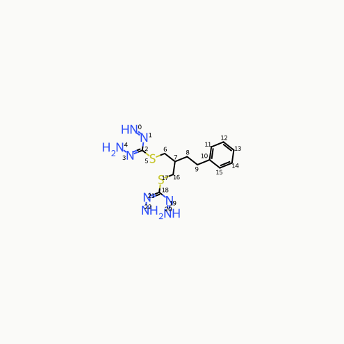 N=NC(=NN)SCC(CCc1ccccc1)CSC(N=N)=NN